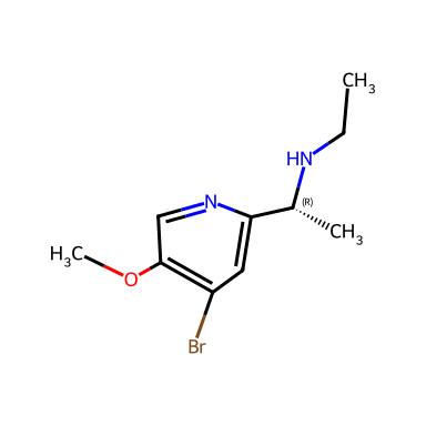 CCN[C@H](C)c1cc(Br)c(OC)cn1